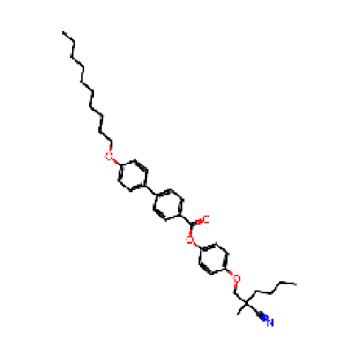 CCCCCCCCCCOc1ccc(-c2ccc(C(=O)Oc3ccc(OCC(C)(C#N)CCCC)cc3)cc2)cc1